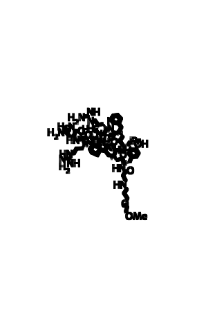 COCCOCCCNCCC(=O)N[C@@H](Cc1ccc(O)cc1)C(=O)C[C@@H](Cc1c[nH]c2ccccc12)C(=O)N[C@@H](CC(C)C)C(=O)C[C@@H](Cc1ccccc1)C(=O)N[C@@H](CCCNC(=N)N)C(=O)N(C)[C@@H](C)C(=O)N[C@@H](CCCNC(=N)N)C(=O)N[C@@H](CC(N)=O)C(N)=O